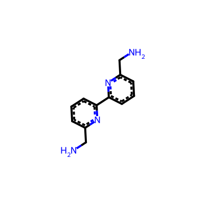 NCc1cccc(-c2cccc(CN)n2)n1